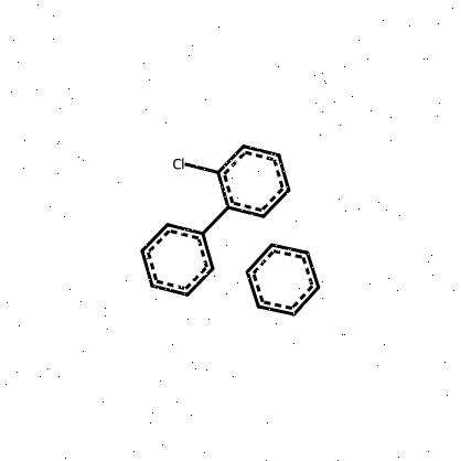 Clc1ccccc1-c1ccccc1.c1ccccc1